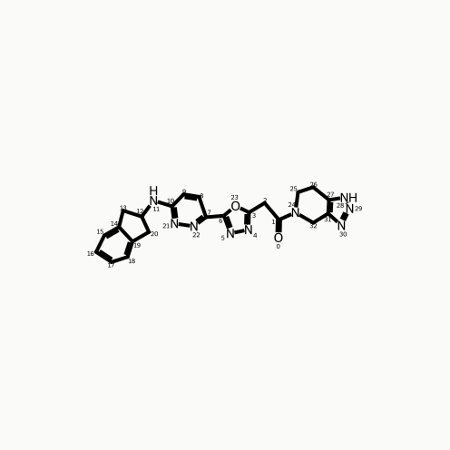 O=C(Cc1nnc(-c2ccc(NC3Cc4ccccc4C3)nn2)o1)N1CCc2[nH]nnc2C1